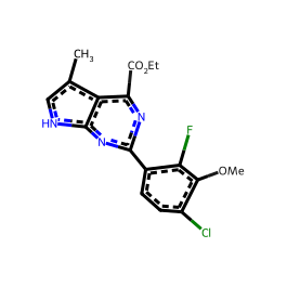 CCOC(=O)c1nc(-c2ccc(Cl)c(OC)c2F)nc2[nH]cc(C)c12